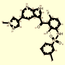 Cc1cccc(S(=O)(=O)Nc2ccc(F)c(C(=O)c3c[nH]c4ncc(-c5cnn(C)c5)cc34)c2F)c1